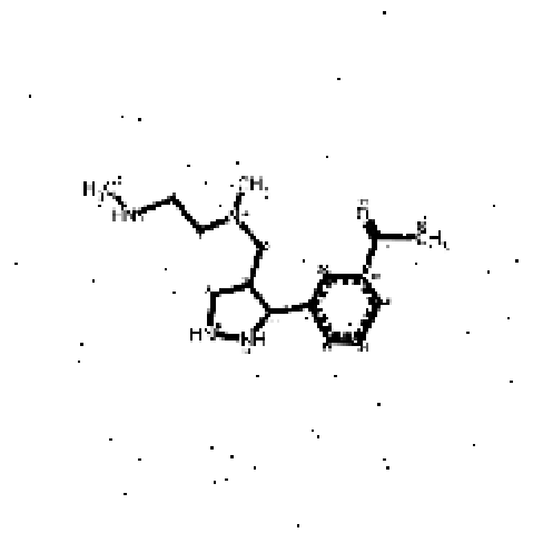 CNCCN(C)CC1CNNC1c1cccc(C(C)=O)c1